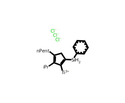 CCCCCC1=C(C(C)C)[C]([Ti+3])=C([SiH2]c2ccccc2)C1.[Cl-].[Cl-].[Cl-]